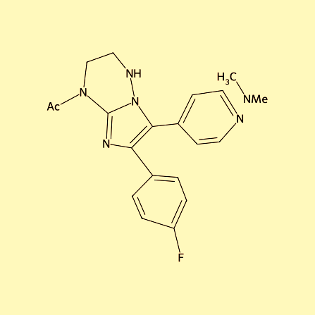 CC(=O)N1CCNn2c1nc(-c1ccc(F)cc1)c2-c1ccncc1.CNC